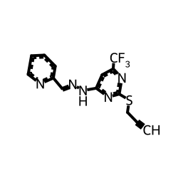 C#CCSc1nc(NN=Cc2ccccn2)cc(C(F)(F)F)n1